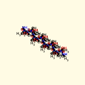 CCC(C)NCC(=O)N(CC(=O)N(CC(=O)N(CC(=O)N(CC(=O)N(CC(=O)N(CC(=O)N(CC(=O)N(CC(=O)N(CC(=O)N(CC(=O)N(CC(=O)N(CC(=O)N(CC(=O)N(CC(=O)N(CC(N)=O)CC(C)O)C(C)CC)CC(C)O)C(C)CC)CC(C)O)C(C)CC)CC(C)O)C(C)CC)CC(C)O)C(C)CC)CC(C)O)C(C)CC)CC(C)O)C(C)CC)CC(C)O